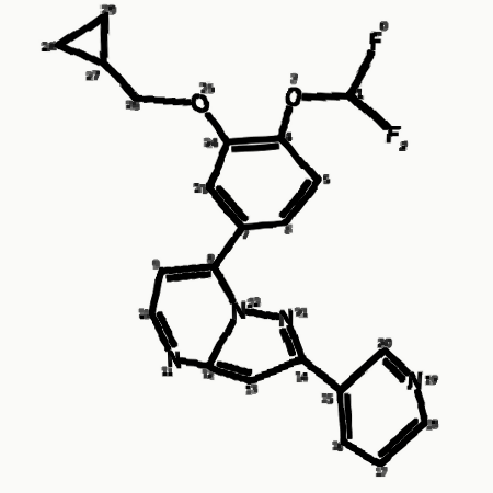 FC(F)Oc1ccc(-c2ccnc3cc(-c4cccnc4)nn23)cc1OCC1CC1